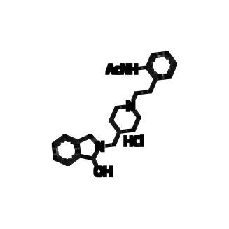 CC(=O)Nc1ccccc1CCN1CCC(CN2Cc3ccccc3C2O)CC1.Cl